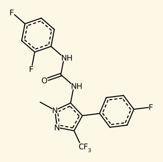 Cn1nc(C(F)(F)F)c(-c2ccc(F)cc2)c1NC(=O)Nc1ccc(F)cc1F